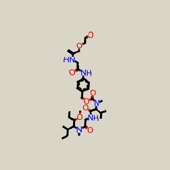 C=C(COCC=O)NCC(=O)Nc1ccc(COC(=O)N(C)C(C(=O)NCC(=O)N(C)C(C(C)CC)C(CC)OC)C(C)C)cc1